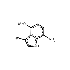 COc1ccc([N+](=O)[O-])c2[nH]cc(C#N)c12